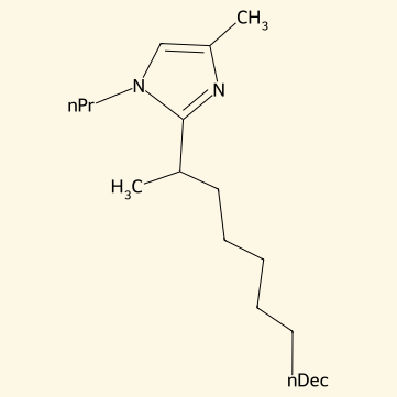 CCCCCCCCCCCCCCCC(C)c1nc(C)cn1CCC